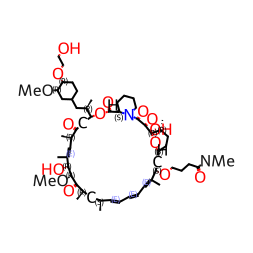 CNC(=O)CCCO[C@H]1C[C@@H]2CC[C@@H](C)[C@@](O)(O2)C(=O)C(=O)N2CCCC[C@H]2C(=O)OC([C@H](C)CC2CC[C@@H](OCCO)[C@H](OC)C2)CC(=O)[C@H](C)/C=C(\C)[C@@H](O)[C@@H](OC)C(=O)[C@H](C)C[C@H](C)/C=C/C=C/C=C/1C